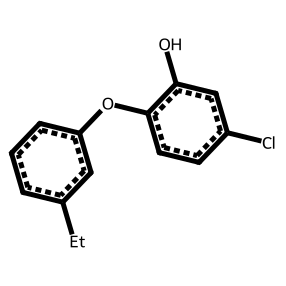 CCc1cccc(Oc2ccc(Cl)cc2O)c1